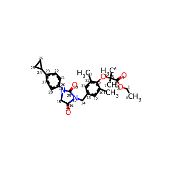 CCOC(=O)C(C)(C)Oc1c(C)cc(CN2C(=O)CN(c3ccc(C4CC4)cc3)C2=O)cc1C